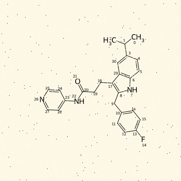 CC(C)c1ccc2[nH]c(Cc3ccc(F)cc3)c(CCC(=O)Nc3ccncc3)c2c1